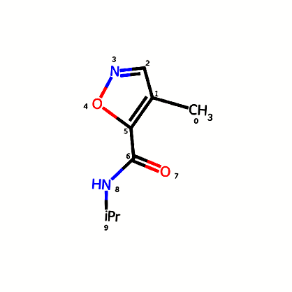 Cc1cnoc1C(=O)NC(C)C